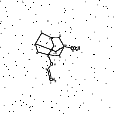 C=COC12CC3CC(C1)CC(C(=O)O)(C3)C2